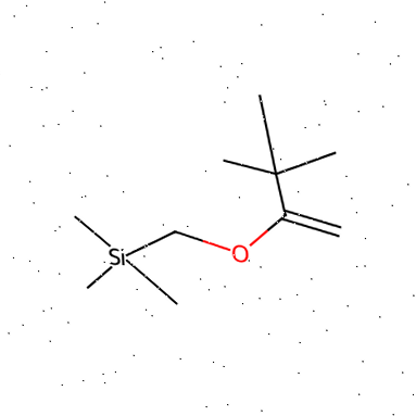 C=C(OC[Si](C)(C)C)C(C)(C)C